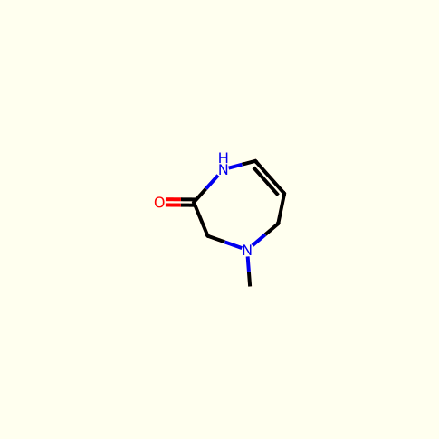 CN1CC=CNC(=O)C1